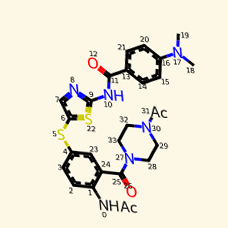 CC(=O)Nc1ccc(Sc2cnc(NC(=O)c3ccc(N(C)C)cc3)s2)cc1C(=O)N1CCN(C(C)=O)CC1